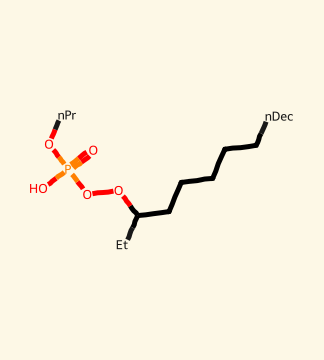 CCCCCCCCCCCCCCCC(CC)OOP(=O)(O)OCCC